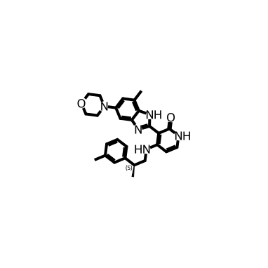 Cc1cccc([C@H](C)CNc2cc[nH]c(=O)c2-c2nc3cc(N4CCOCC4)cc(C)c3[nH]2)c1